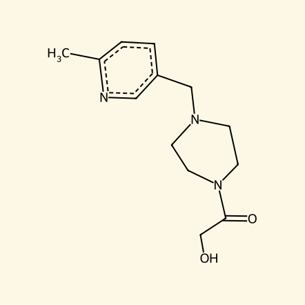 Cc1ccc(CN2CCN(C(=O)CO)CC2)cn1